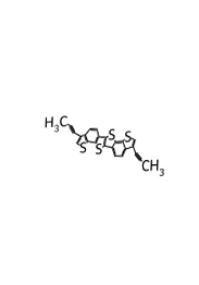 CC#Cc1csc2c1ccc1c2sc2c3ccc4c(C#CC)csc4c3sc12